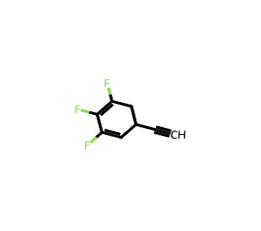 C#CC1C=C(F)C(F)=C(F)C1